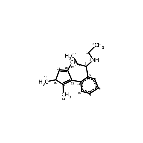 CCNC(CC)c1ccccc1C1=C(C)C(C)C=C1C